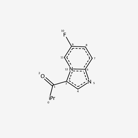 CC(C)C(=O)c1cnc2ccc(F)cn12